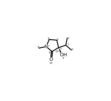 CC(C)[C@@]1(O)CCN(C)C1=O